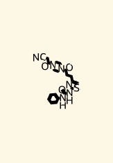 N#CCC(=O)N1CCN(C(=O)CCc2csc(NC(=O)Nc3ccccc3)n2)CC1